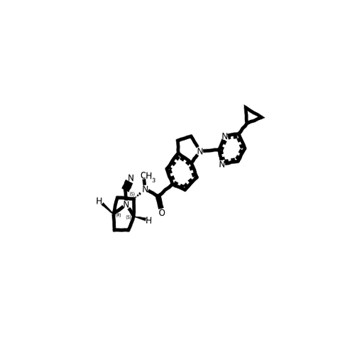 CN(C(=O)c1ccc2c(c1)CCN2c1nccc(C2CC2)n1)[C@H]1C[C@H]2CC[C@@H]1N2C#N